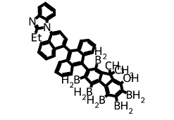 Bc1c(B)c(O)c2c(c1B)-c1c(B)c(B)c(-c3c4ccccc4c(-c4ccc(-n5c(CC)nc6ccccc65)c5ccccc45)c4ccccc34)c(B)c1C2(C)C